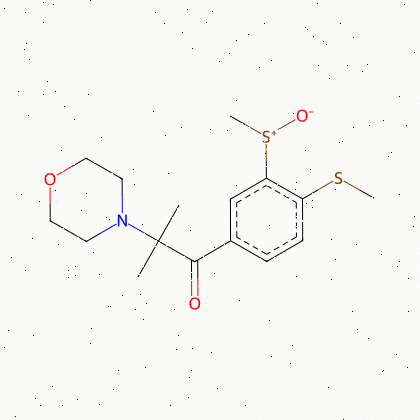 CSc1ccc(C(=O)C(C)(C)N2CCOCC2)cc1[S+](C)[O-]